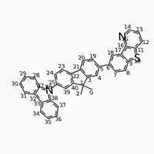 CC1(C)c2cc(-c3ccc4sc5cccnc5c4c3)ccc2-c2ccc(-n3c4ccccc4c4ccccc43)cc21